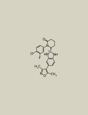 Cc1noc(C)c1-c1ccc2c(c1)N[C@@H](C1CCCC(=O)N1c1ccc(Cl)c(F)c1)N2